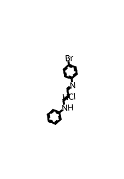 Brc1ccc(N=CC=CNc2ccccc2)cc1.Cl